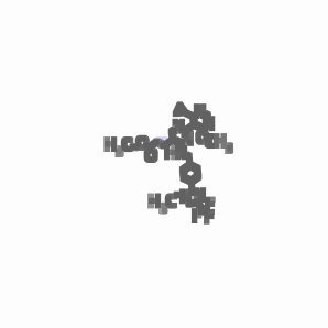 CCOC(=O)/C=C/c1cnc(-c2c(OC)ncnc2C2CC2)nc1NCc1ccc(-c2nc(C(F)(F)F)cn2CC)cc1